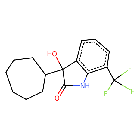 O=C1Nc2c(C(F)(F)F)cccc2C1(O)C1CCCCCC1